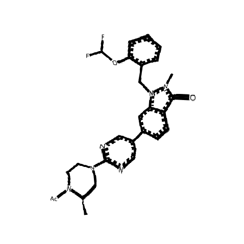 CC(=O)N1CCN(c2ncc(-c3ccc4c(=O)n(C)n(Cc5ccccc5OC(F)F)c4c3)cn2)C[C@H]1C